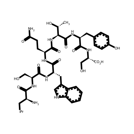 CC(C)C[C@H](N)C(=O)N[C@@H](CO)C(=O)N[C@@H](Cc1c[nH]c2ccccc12)C(=O)N[C@@H](CCC(N)=O)C(=O)N[C@H](C(=O)N[C@@H](Cc1ccc(O)cc1)C(=O)N[C@@H](CO)C(=O)O)[C@@H](C)O